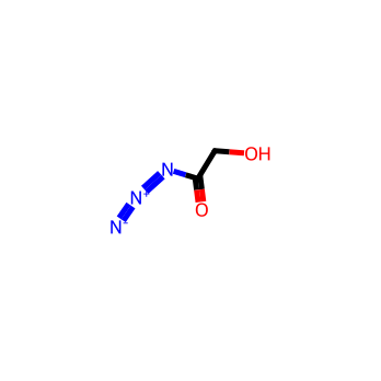 [N-]=[N+]=NC(=O)CO